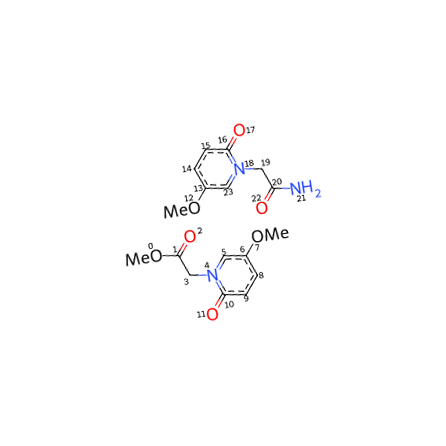 COC(=O)Cn1cc(OC)ccc1=O.COc1ccc(=O)n(CC(N)=O)c1